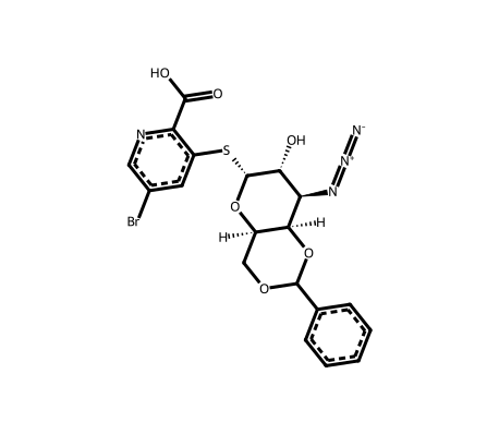 [N-]=[N+]=N[C@@H]1[C@@H](O)[C@@H](Sc2cc(Br)cnc2C(=O)O)O[C@@H]2COC(c3ccccc3)O[C@H]12